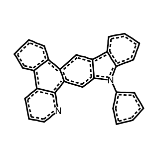 c1ccc(-n2c3ccccc3c3cc4c5ccccc5c5cccnc5c4cc32)cc1